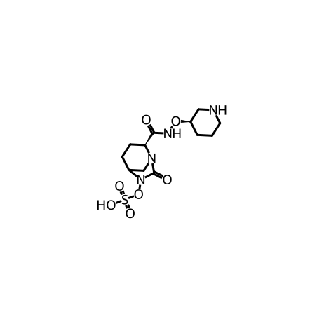 O=C(NO[C@@H]1CCCNC1)[C@@H]1CCC2CN1C(=O)N2OS(=O)(=O)O